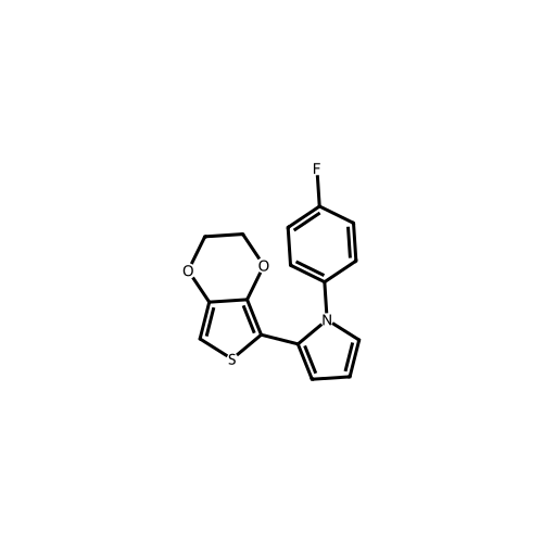 Fc1ccc(-n2cccc2-c2scc3c2OCCO3)cc1